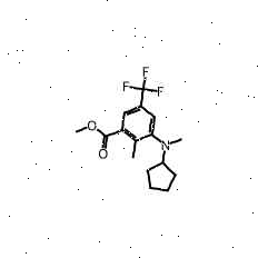 COC(=O)c1cc(C(F)(F)F)cc(N(C)C2CCCC2)c1C